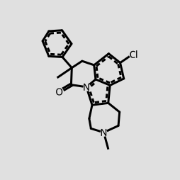 CN1CCc2c(n3c4c(cc(Cl)cc24)CC(C)(c2ccccc2)C3=O)CC1